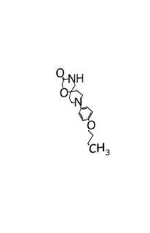 CCCCOc1ccc(N2CCC3(CC2)CNC(=O)CO3)cc1